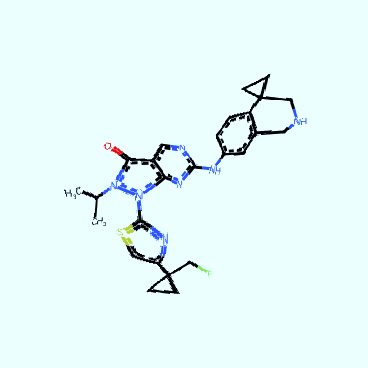 CC(C)n1c(=O)c2cnc(Nc3ccc4c(c3)CNCC43CC3)nc2n1-c1nc(C2(CF)CC2)cs1